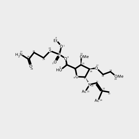 CCOP(=O)(OC(O)C1O[C@@H](N(/C=C(/C)C(C)=O)C(C)=O)[C@H](OCCOC)[C@@H]1OC)SCCC(N)=O